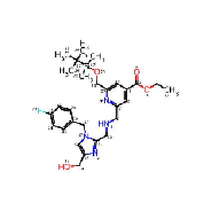 CCOC(=O)c1cc(CNCc2nc(CO)cn2Cc2ccc(F)cc2)nc(CO[Si](C)(C)C(C)(C)C)c1